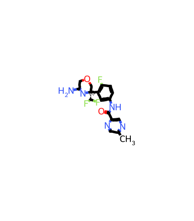 Cc1cnc(C(=O)Nc2ccc(F)c([C@]3(C(F)F)COCC(N)=N3)c2)cn1